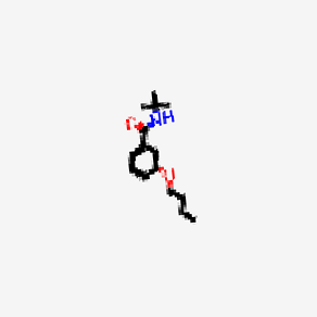 CCCCOc1cccc(C(=O)NC(C)(C)C)c1